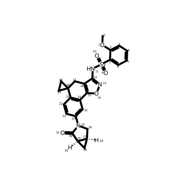 COc1ccccc1S(=O)(=O)Nc1noc2c1CC1(CC1)c1ccc(N3C[C@H]4C[C@H]4C3=O)cc1-2